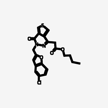 CCCCOC(=O)Cc1nn(Cc2cc3cc(Cl)ccc3o2)c(=O)c2cscc12